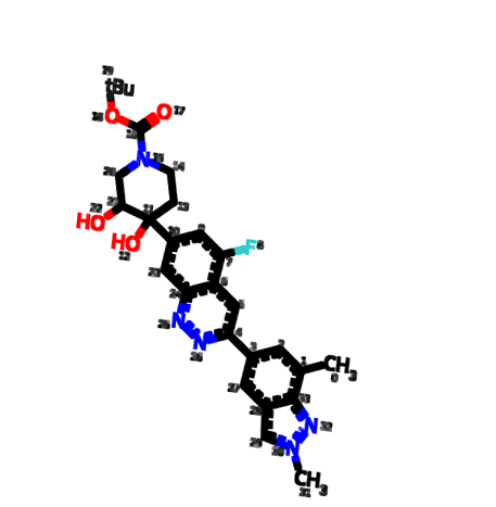 Cc1cc(-c2cc3c(F)cc(C4(O)CCN(C(=O)OC(C)(C)C)CC4O)cc3nn2)cc2cn(C)nc12